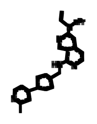 C=CN(CCC)c1cc2ccnc(NCc3ccc(-c4ccnc(C)c4)cc3)c2cn1